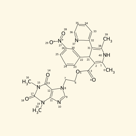 CC1=C(C(=O)OCCn2cnc3c2c(=O)n(C)c(=O)n3C)C(c2cccc([N+](=O)[O-])c2)C(c2ccccn2)=C(C)N1